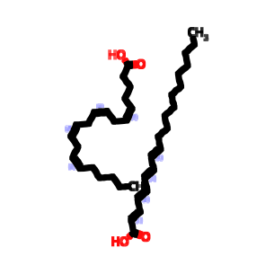 CCCCC/C=C\C/C=C\C/C=C\C/C=C\CCCC(=O)O.CCCCCCCCCCC/C=C/C=C/C=C/C=C/C(=O)O